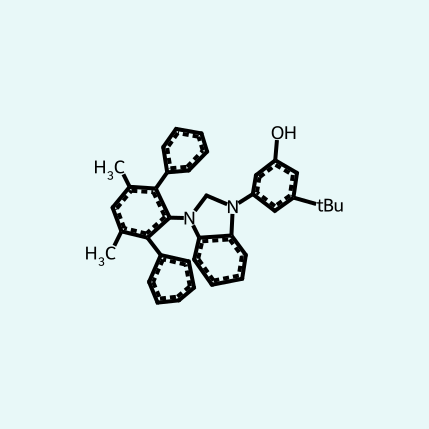 Cc1cc(C)c(-c2ccccc2)c(N2CN(c3cc(O)cc(C(C)(C)C)c3)c3ccccc32)c1-c1ccccc1